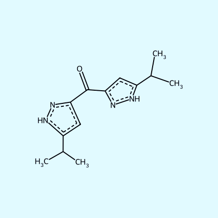 CC(C)c1cc(C(=O)c2cc(C(C)C)[nH]n2)n[nH]1